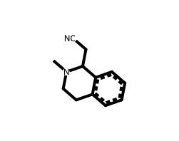 CN1CCc2ccccc2C1CC#N